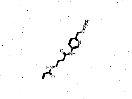 C=CC(=O)NCCCC(=O)Nc1ccc(CN=[N+]=[N-])nc1